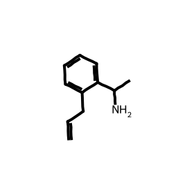 C=CCc1ccccc1C(C)N